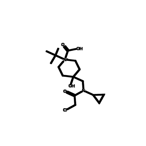 CC(C)(C)[N+]1(C(=O)O)CCC(O)(CN(C(=O)CCl)C2CC2)CC1